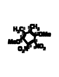 COc1c(C)c(C)c(OC)c([N+](=O)[O-])c1[N+](=O)[O-]